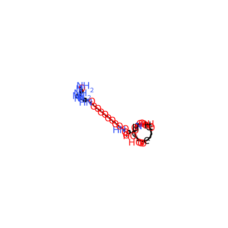 CO[C@H]1C[C@@H]2CC[C@@H](C)[C@@](O)(O2)C(=O)C(=O)N2CCCC[C@H]2C(=O)O[C@H]([C@H](C)C[C@@H]2CC[C@@H](OC(=O)NCCOCCOCCOCCOCCOCCOCCOCCOCCC(=O)NCc3ccc(Cn4nc(-c5ccc6oc(N)nc6c5)c5c(N)ncnc54)cc3)[C@H](OC)C2)C[C@@H](O)[C@H](C)/C=C(\C)[C@@H](O)[C@@H](OC)C(=O)[C@H](C)C[C@H](C)/C=C/C=C/C=C/1C